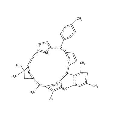 CC(=O)c1cc2[nH]c1c(C)c1nc(cc3ccc([nH]3)c(-c3ccc(C)cc3)c3nc(c2-c2c(C)cc(C)cc2C)C=C3)C(C)(C)C1